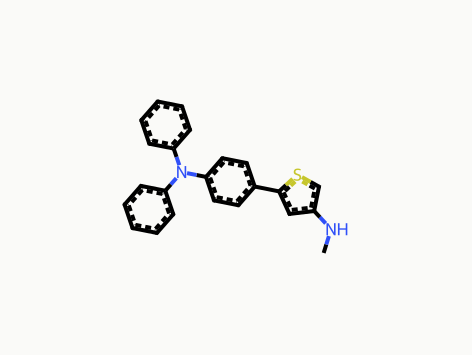 CNc1csc(-c2ccc(N(c3ccccc3)c3ccccc3)cc2)c1